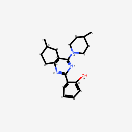 CC1CCN(c2nc(-c3ccccc3O)nc3c2CC(C)CC3)CC1